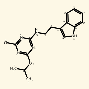 CC(C)Oc1nc(Cl)nc(NCCc2c[nH]c3ccccc23)n1